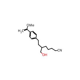 C=C(OC)c1ccc(CCC(CO)CCCCC#N)cc1